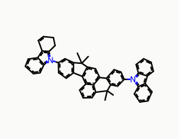 CC1(C)c2cc(-n3c4c(c5ccccc53)C=CCC4)ccc2-c2c1cc1c3c(cccc23)C(C)(C)c2cc(-n3c4ccccc4c4ccccc43)ccc2-1